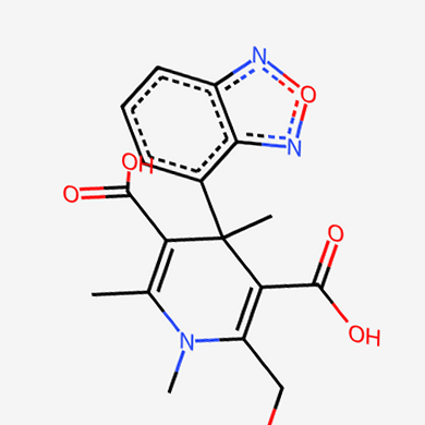 CC1=C(C(=O)O)C(C)(c2cccc3nonc23)C(C(=O)O)=C(CO)N1C